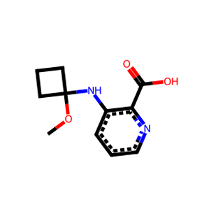 COC1(Nc2cccnc2C(=O)O)CCC1